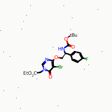 CCOC(=O)Cn1cnc(OC[C@@H](NC(=O)OC(C)(C)C)c2ccc(F)cc2)c(Br)c1=O